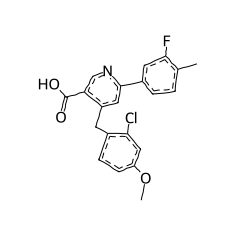 COc1ccc(Cc2cc(-c3ccc(C)c(F)c3)ncc2C(=O)O)c(Cl)c1